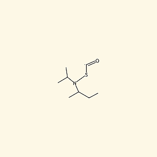 CCC(C)N(S[C]=O)C(C)C